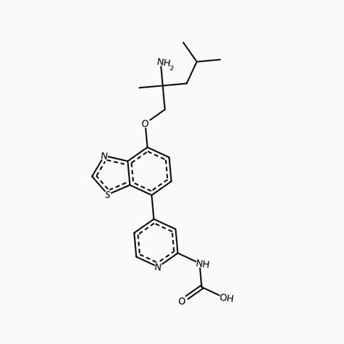 CC(C)CC(C)(N)COc1ccc(-c2ccnc(NC(=O)O)c2)c2scnc12